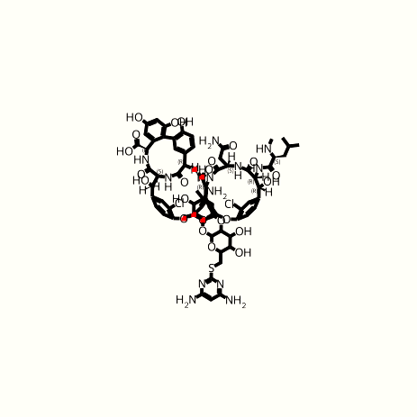 CN[C@@H](CC(C)C)C(=O)N[C@H]1C(=O)N[C@@H](CC(N)=O)C(=O)N[C@H]2C(=O)N[C@H]3C(=O)N[C@H](C(=O)N[C@@H](C(=O)O)c4cc(O)cc(O)c4-c4cc3ccc4O)[C@H](O)c3ccc(c(Cl)c3)Oc3cc2cc(c3OC2OC(CSc3nc(N)cc(N)n3)C(O)C(O)C2OC2CC(C)(N)C(O)C(C)O2)Oc2ccc(cc2Cl)[C@H]1O